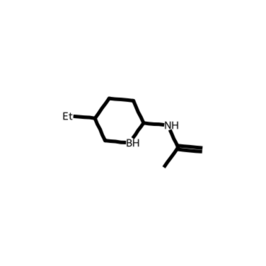 C=C(C)NC1BCC(CC)CC1